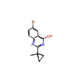 CC1(c2nc(O)c3cc(Br)ccc3n2)CC1